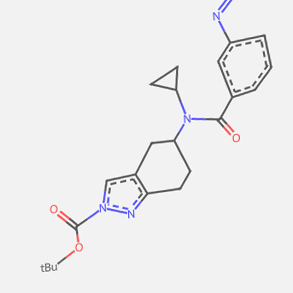 CC(C)(C)OC(=O)n1cc2c(n1)CCC(N(C(=O)c1cccc(N=N)c1)C1CC1)C2